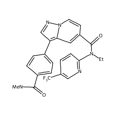 CCN(C(=O)c1ccn2ncc(-c3ccc(C(=O)NC)cc3)c2c1)c1ccc(C(F)(F)F)cn1